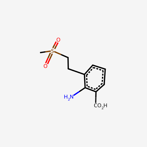 CS(=O)(=O)CCc1cccc(C(=O)O)c1N